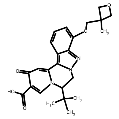 CC1(COc2cccc3c4n(nc23)CC(C(C)(C)C)n2cc(C(=O)O)c(=O)cc2-4)COC1